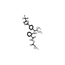 CCC(=O)ONC(=O)c1ccccc1N[C@H](c1ccc(-c2nnc(C(F)(F)F)o2)cc1)C(C)C